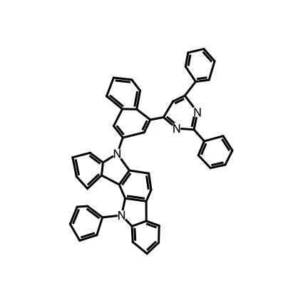 c1ccc(-c2cc(-c3cc(-n4c5ccccc5c5c4ccc4c6ccccc6n(-c6ccccc6)c45)cc4ccccc34)nc(-c3ccccc3)n2)cc1